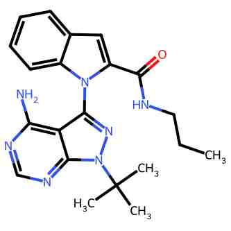 CCCNC(=O)c1cc2ccccc2n1-c1nn(C(C)(C)C)c2ncnc(N)c12